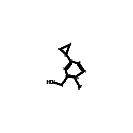 OCc1cc(C2CC2)ccc1Br